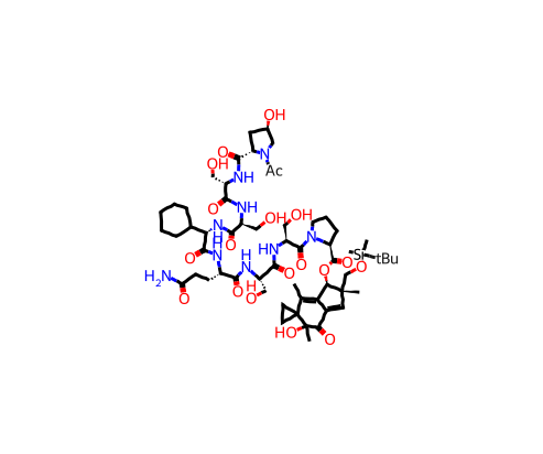 CC(=O)N1C[C@H](O)C[C@H]1C(=O)N[C@@H](CO)C(=O)N[C@@H](CO)C(=O)N[C@H](C(=O)N[C@@H](CCC(N)=O)C(=O)N[C@@H](CO)C(=O)N[C@@H](CO)C(=O)N1CCC[C@H]1C(=O)O[C@@H]1C2=C(C)C3(CC3)C(C)(O)C(=O)C2=C[C@@]1(C)CO[Si](C)(C)C(C)(C)C)C1CCCCC1